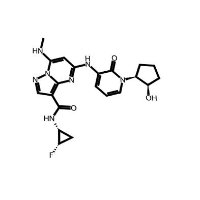 CNc1cc(Nc2cccn([C@H]3CCC[C@H]3O)c2=O)nc2c(C(=O)N[C@@H]3C[C@@H]3F)cnn12